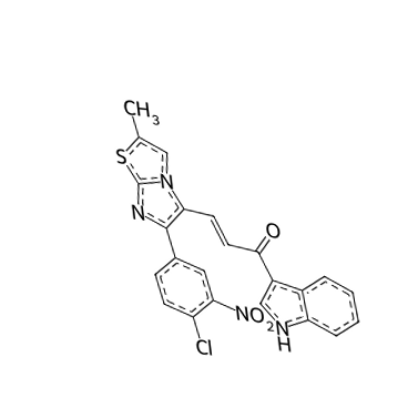 Cc1cn2c(C=CC(=O)c3c[nH]c4ccccc34)c(-c3ccc(Cl)c([N+](=O)[O-])c3)nc2s1